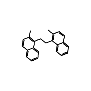 Cc1ccc2ccccc2c1CCc1c(C)ccc2ccccc12